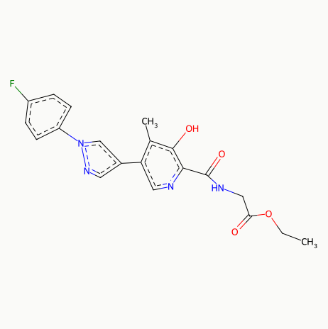 CCOC(=O)CNC(=O)c1ncc(-c2cnn(-c3ccc(F)cc3)c2)c(C)c1O